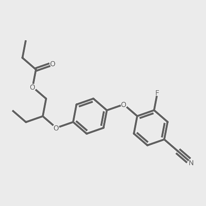 CCC(=O)OCC(CC)Oc1ccc(Oc2ccc(C#N)cc2F)cc1